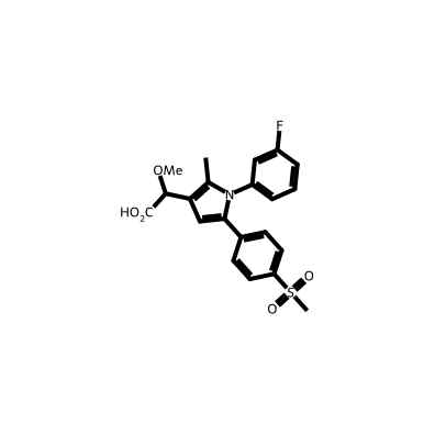 COC(C(=O)O)c1cc(-c2ccc(S(C)(=O)=O)cc2)n(-c2cccc(F)c2)c1C